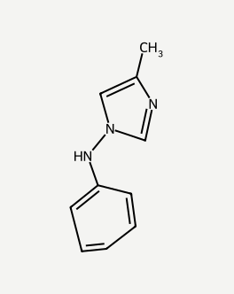 Cc1cn(Nc2ccccc2)cn1